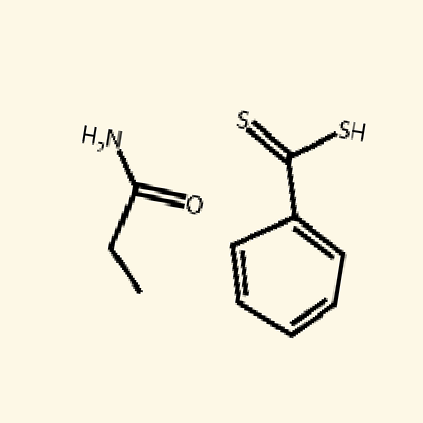 CCC(N)=O.S=C(S)c1ccccc1